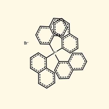 [Br-].c1ccc2c([P+](c3cccc4ccccc34)(c3cccc4ccccc34)c3cccc4ccccc34)cccc2c1